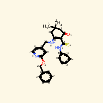 CC1(C)CC(=O)C(C(=S)Nc2ccccc2)=C(NCc2ccnc(OCc3ccccc3)c2)C1